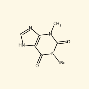 CCC(C)n1c(=O)c2[nH]cnc2n(C)c1=O